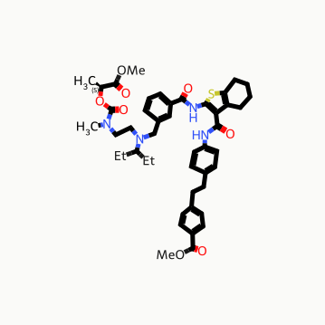 CCC(CC)N(CCN(C)C(=O)O[C@@H](C)C(=O)OC)Cc1cccc(C(=O)Nc2sc3c(c2C(=O)Nc2ccc(CCc4ccc(C(=O)OC)cc4)cc2)CCCC3)c1